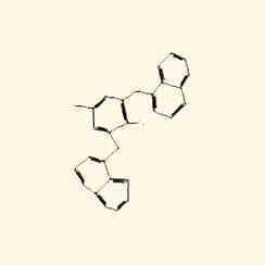 Cc1cc(Cc2cccc3ccccc23)c(N)c(Cc2cccc3ccccc23)c1